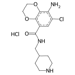 Cl.Nc1c(Cl)cc(C(=O)NCC2CCNCC2)c2c1OCCO2